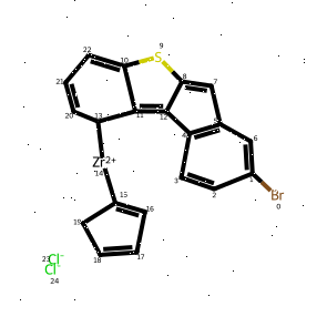 Brc1ccc2c(c1)C=c1sc3c(c1-2)[CH]([Zr+2][C]1=CC=CC1)C=CC=3.[Cl-].[Cl-]